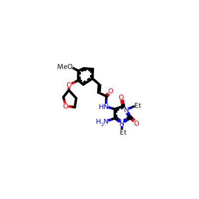 CCn1c(N)c(NC(=O)/C=C/c2ccc(OC)c(OC3CCOC3)c2)c(=O)n(CC)c1=O